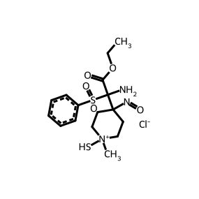 CCOC(=O)C(N)(C1(N=O)CC[N+](C)(S)CC1)S(=O)(=O)c1ccccc1.[Cl-]